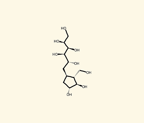 OC[C@H]1[C@H](C[C@@H](O)[C@@H](O)[C@H](O)[C@@H](O)CO)C[C@@H](O)[C@@H]1O